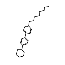 CCCCCCCCc1ccc(-c2ccc(C3CC[CH]CC3)cc2)cc1